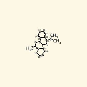 CC(CC1CCN(C(C)C)c2ccccc21)N1CCSCC1